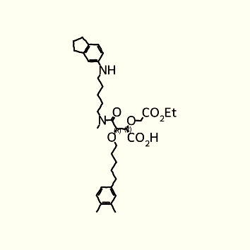 CCOC(=O)CO[C@@H](C(=O)O)[C@@H](OCCCCCc1ccc(C)c(C)c1)C(=O)N(C)CCCCCNc1ccc2c(c1)CCC2